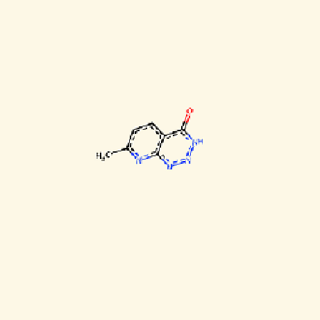 Cc1ccc2c(=O)[nH]nnc2n1